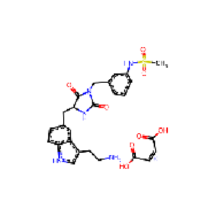 CS(=O)(=O)Nc1cccc(CN2C(=O)NC(Cc3ccc4[nH]cc(CCN)c4c3)C2=O)c1.O=C(O)/C=C\C(=O)O